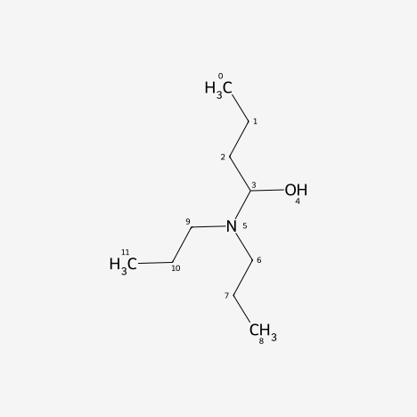 CCCC(O)N(CCC)CCC